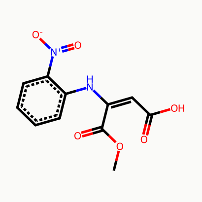 COC(=O)C(=CC(=O)O)Nc1ccccc1[N+](=O)[O-]